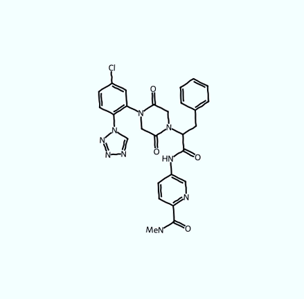 CNC(=O)c1ccc(NC(=O)C(Cc2ccccc2)N2CC(=O)N(c3cc(Cl)ccc3-n3cnnn3)CC2=O)cn1